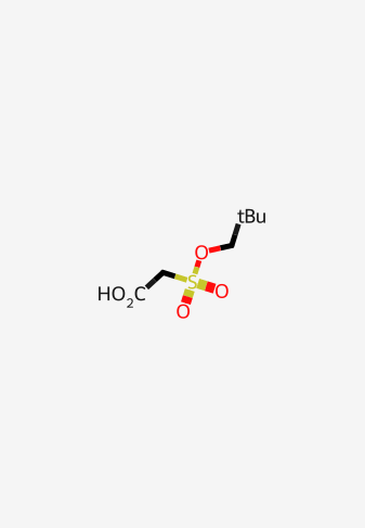 CC(C)(C)COS(=O)(=O)CC(=O)O